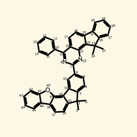 CC1(C)c2ccc(-c3nc(-c4ccccc4)c4ccc5c(c4n3)C(C)(C)c3ccccc3-5)cc2-c2c1ccc1c2oc2ccccc21